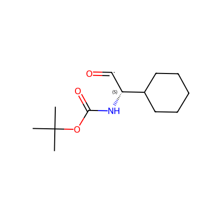 CC(C)(C)OC(=O)N[C@H]([C]=O)C1CCCCC1